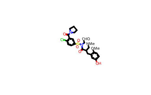 CNCC(Cc1cc(O)ccc1OC)C(=O)N(CC=O)S(=O)(=O)c1ccc(Cl)c(C(=O)N2CCCC2)c1